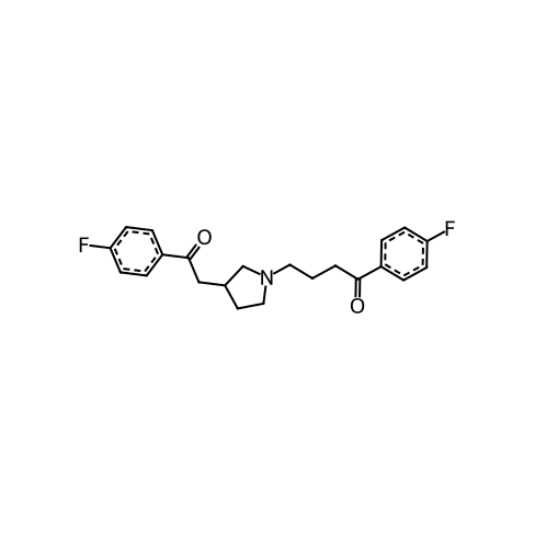 O=C(CCCN1CCC(CC(=O)c2ccc(F)cc2)C1)c1ccc(F)cc1